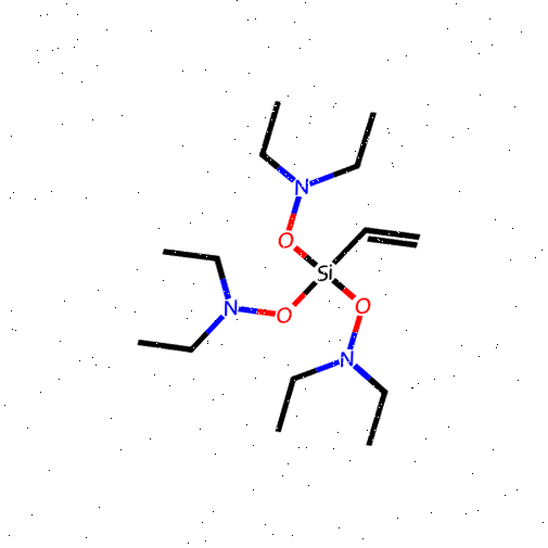 C=C[Si](ON(CC)CC)(ON(CC)CC)ON(CC)CC